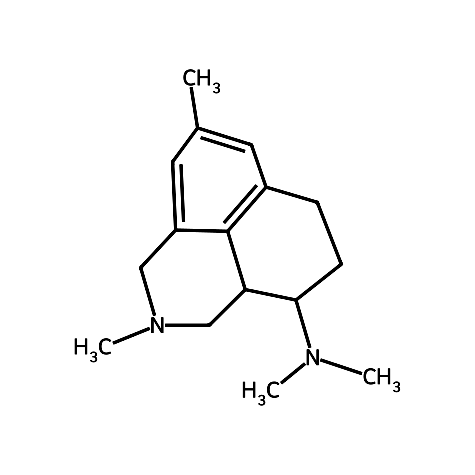 Cc1cc2c3c(c1)CN(C)CC3C(N(C)C)CC2